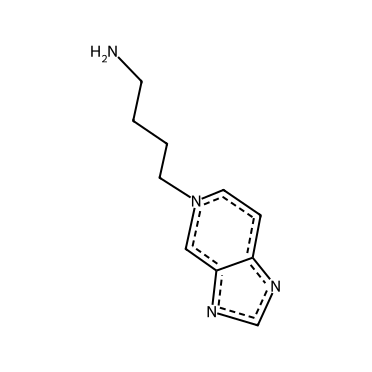 NCCCCn1ccc2ncnc-2c1